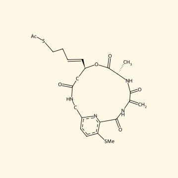 C=C1NC(=O)c2nc(ccc2SC)CNC(=O)C[C@@H](/C=C/CCSC(C)=O)OC(=O)[C@H](C)NC1=O